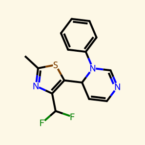 Cc1nc(C(F)F)c(C2C=CN=CN2c2ccccc2)s1